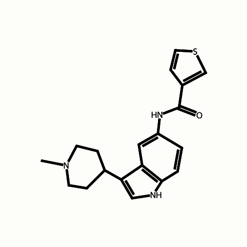 CN1CCC(c2c[nH]c3ccc(NC(=O)c4ccsc4)cc23)CC1